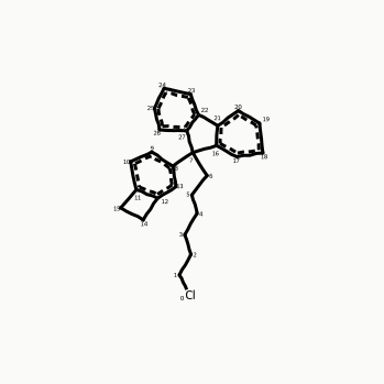 ClCCCCCCC1(c2ccc3c(c2)CC3)c2ccccc2-c2ccccc21